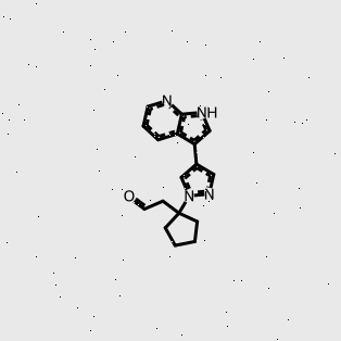 O=CCC1(n2cc(-c3c[nH]c4ncccc34)cn2)CCCC1